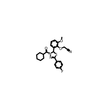 COc1cccc(C2SC(c3ccc(F)cc3)=NN2C(=O)C2CCCCC2)c1OCC#N